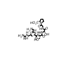 N=C(N)NCCC[C@H](NC(=O)CN)C(=O)N[C@@H](CO)C(=O)N[C@@H](CO)C(=O)NCC(=O)N1CCC[C@H]1C(=O)O